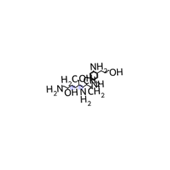 C=C(Nc1ccc(N)c(CCCO)c1)C(=C)/C(N)=C(/C=C/C(O)CN)C(=C)O